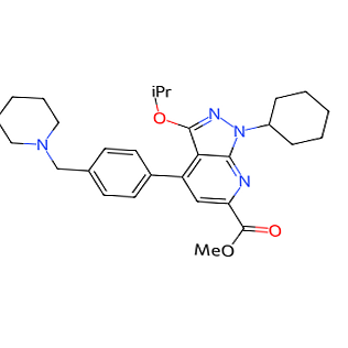 COC(=O)c1cc(-c2ccc(CN3CCCCC3)cc2)c2c(OC(C)C)nn(C3CCCCC3)c2n1